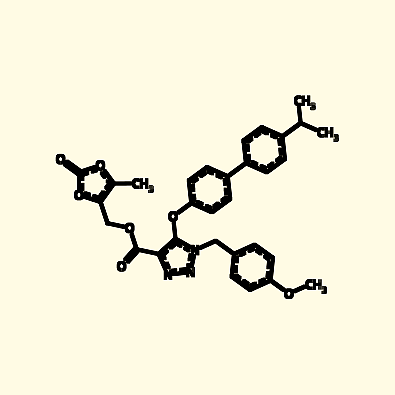 COc1ccc(Cn2nnc(C(=O)OCc3oc(=O)oc3C)c2Oc2ccc(-c3ccc(C(C)C)cc3)cc2)cc1